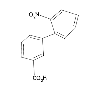 O=C(O)c1cccc(-c2ccccc2[N+](=O)[O-])c1